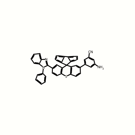 N#Cc1cc(N)cc(-c2ccc3c(c2)C2(c4cc(-c5nc6ccccc6n5-c5ccccc5)ccc4S3)c3ccccc3-c3ccccc32)c1